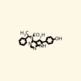 C[C@H](c1ccccc1)N(C(=O)O)c1ncnc2[nH]c(-c3ccc(O)cc3)cc12